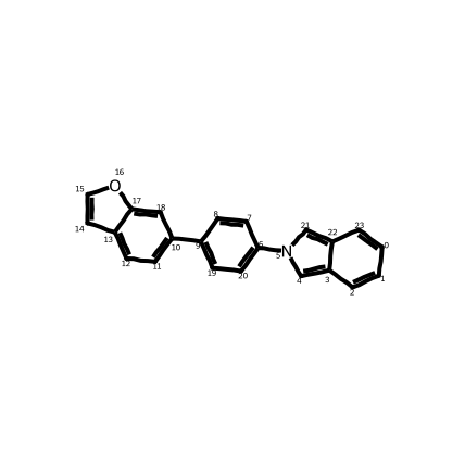 c1ccc2cn(-c3ccc(-c4ccc5ccoc5c4)cc3)cc2c1